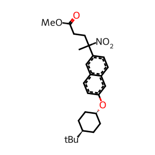 COC(=O)CCC(C)(c1ccc2cc(O[C@H]3CC[C@H](C(C)(C)C)CC3)ccc2c1)[N+](=O)[O-]